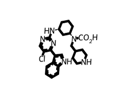 O=C(O)N(CC1CCNCC1)[C@H]1CCC[C@@H](Nc2ncc(Cl)c(-c3c[nH]c4ccccc34)n2)C1